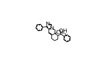 CC12Cn3cnc(-c4ccccc4)c3C=C1CCCC2C(O)c1ccccc1